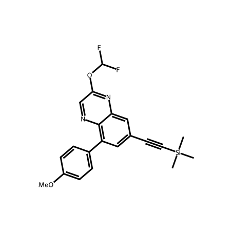 COc1ccc(-c2cc(C#C[Si](C)(C)C)cc3nc(OC(F)F)cnc23)cc1